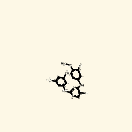 COc1ccc(Nc2nc(Nc3cc(C)cc(C)c3)ncc2F)cc1Cl